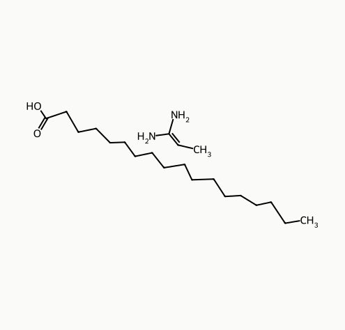 CC=C(N)N.CCCCCCCCCCCCCCCCCC(=O)O